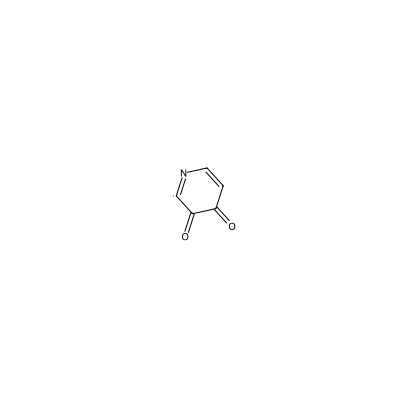 O=C1[C]=NC=CC1=O